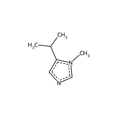 CC(C)c1cncn1C